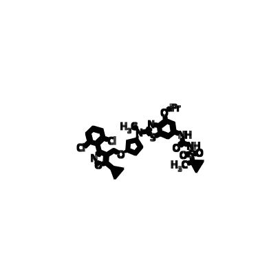 CC(C)Oc1cc(NC(=O)NS(=O)(=O)C2(C)CC2)cc2sc(N(C)[C@@H]3CC[C@H](OCc4c(-c5c(Cl)cccc5Cl)noc4C4CC4)C3)nc12